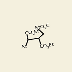 CCOC(=O)CC(C(=O)OCC)C(C(C)=O)C(=O)OCC